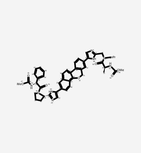 CCCN(Cc1ncc(-c2ccc3c(c2)COc2c-3ccc3cc(-c4cnc([C@@H]5CCCN5C(=O)[C@H](NC(=O)OC)c5ccccc5)[nH]4)ccc23)[nH]1)C(=O)[C@H](C)NC(=O)OC